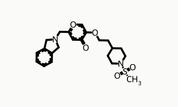 CS(=O)(=O)N1CCC(CCOc2coc(CN3Cc4ccccc4C3)cc2=O)CC1